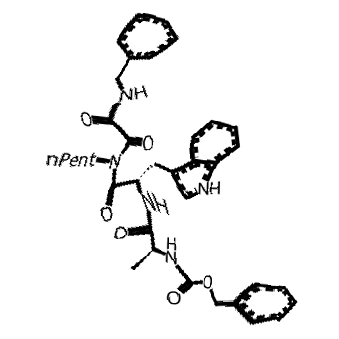 CCCCCN(C(=O)C(=O)NCc1ccccc1)C(=O)[C@H](Cc1c[nH]c2ccccc12)NC(=O)[C@H](C)NC(=O)OCc1ccccc1